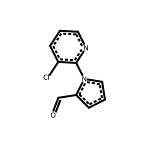 O=Cc1cccn1-c1ncccc1Cl